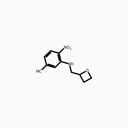 N#Cc1ccc([N+](=O)[O-])c(NCC2CCO2)c1